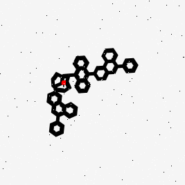 IC1=C/C=CC\C=C/C(CCc2ccc3cc(-c4ccccc4)c4ccccc4c3c2)=C/1c1c2ccccc2c(C2C=C3C(=CC2)C=C(c2ccccc2)C2=CC=CCC32)c2ccccc12